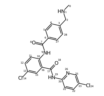 CNCc1ccc(C(=O)Nc2ccc(Cl)cc2C(=O)Nc2ccc(Cl)cn2)cc1